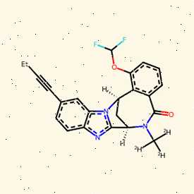 [2H]C([2H])([2H])N1C(=O)c2cccc(OC(F)F)c2[C@H]2C[C@@H]1c1nc3ccc(C#CCC)cc3n12